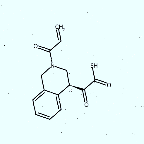 C=CC(=O)N1Cc2ccccc2[C@H](C(=O)C(=O)S)C1